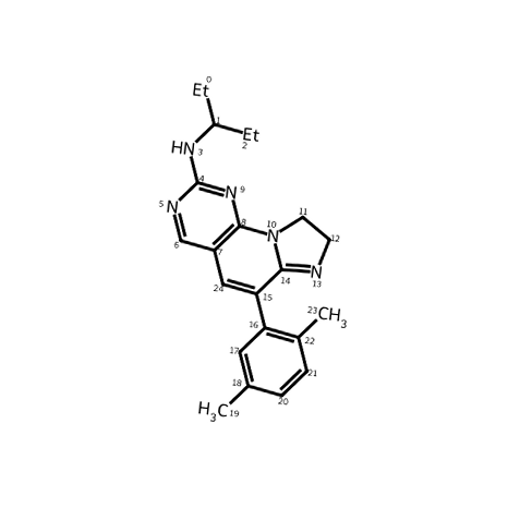 CCC(CC)Nc1ncc2c(n1)N1CCN=C1C(c1cc(C)ccc1C)=C2